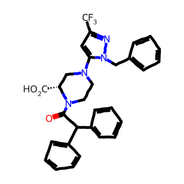 O=C(O)[C@@H]1CN(c2cc(C(F)(F)F)nn2Cc2ccccc2)CCN1C(=O)C(c1ccccc1)c1ccccc1